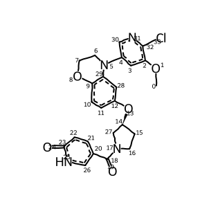 COc1cc(N2CCOc3ccc(O[C@H]4CCN(C(=O)c5ccc(=O)[nH]c5)C4)cc32)cnc1Cl